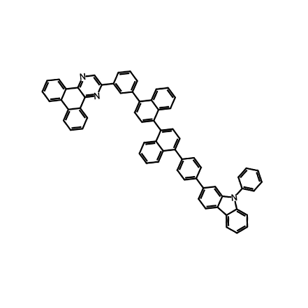 c1ccc(-n2c3ccccc3c3ccc(-c4ccc(-c5ccc(-c6ccc(-c7cccc(-c8cnc9c%10ccccc%10c%10ccccc%10c9n8)c7)c7ccccc67)c6ccccc56)cc4)cc32)cc1